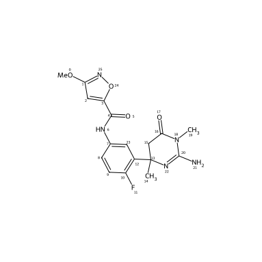 COc1cc(C(=O)Nc2ccc(F)c(C3(C)CC(=O)N(C)C(N)=N3)c2)on1